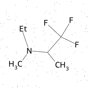 CCN(C)C(C)C(F)(F)F